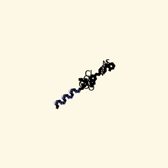 CC/C=C\C/C=C\C/C=C\C/C=C\C/C=C\C/C=C\CCC(=O)OC(C(=O)OCC)N1C(=O)Cc2cc(CCN3CCN(c4nsc5c4C(C)CC=C5)CC3)c(Cl)cc21